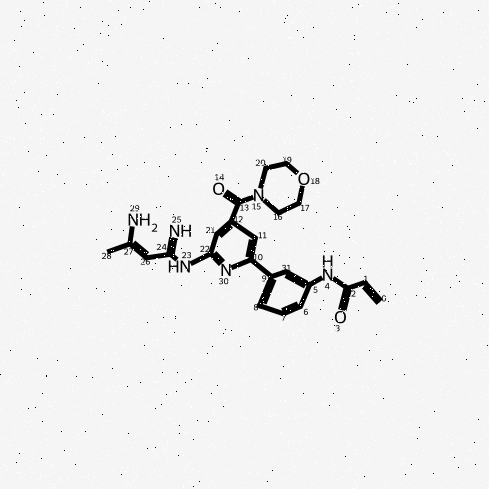 C=CC(=O)Nc1cccc(-c2cc(C(=O)N3CCOCC3)cc(NC(=N)/C=C(/C)N)n2)c1